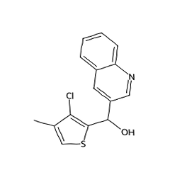 Cc1csc(C(O)c2cnc3ccccc3c2)c1Cl